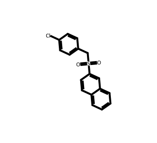 O=S(=O)(Cc1ccc(Cl)cc1)c1ccc2ccccc2c1